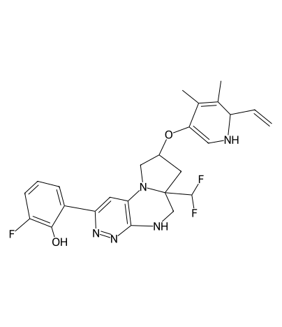 C=CC1NC=C(OC2CN3c4cc(-c5cccc(F)c5O)nnc4NCC3(C(F)F)C2)C(C)=C1C